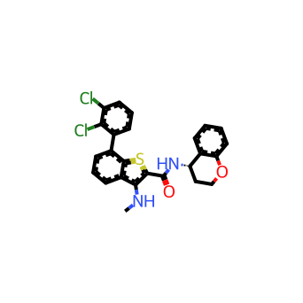 CNc1c(C(=O)N[C@H]2CCOc3ccccc32)sc2c(-c3cccc(Cl)c3Cl)cccc12